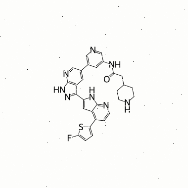 O=C(CC1CCNCC1)Nc1cncc(-c2cnc3[nH]nc(-c4cc5c(-c6ccc(F)s6)ccnc5[nH]4)c3c2)c1